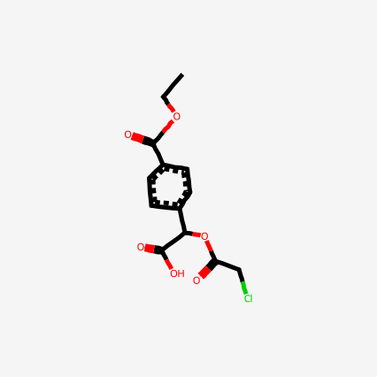 CCOC(=O)c1ccc(C(OC(=O)CCl)C(=O)O)cc1